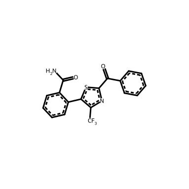 NC(=O)c1ccccc1-c1sc(C(=O)c2ccccc2)nc1C(F)(F)F